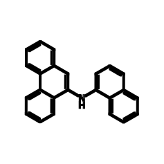 c1ccc2c(Nc3cc4ccccc4c4ccccc34)cccc2c1